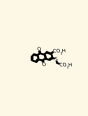 O=C(O)CSc1cc2c(cc1C(=O)O)C(=O)c1ccccc1C2=O